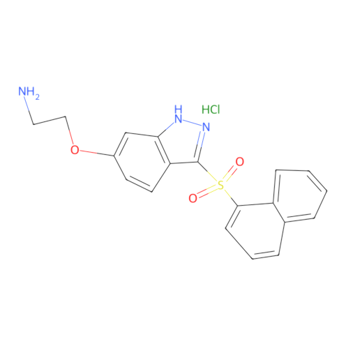 Cl.NCCOc1ccc2c(S(=O)(=O)c3cccc4ccccc34)n[nH]c2c1